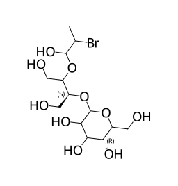 CC(Br)C(O)OC(CO)[C@H](CO)OC1OC(CO)[C@H](O)C(O)C1O